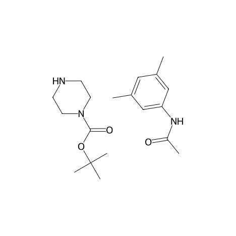 CC(=O)Nc1cc(C)cc(C)c1.CC(C)(C)OC(=O)N1CCNCC1